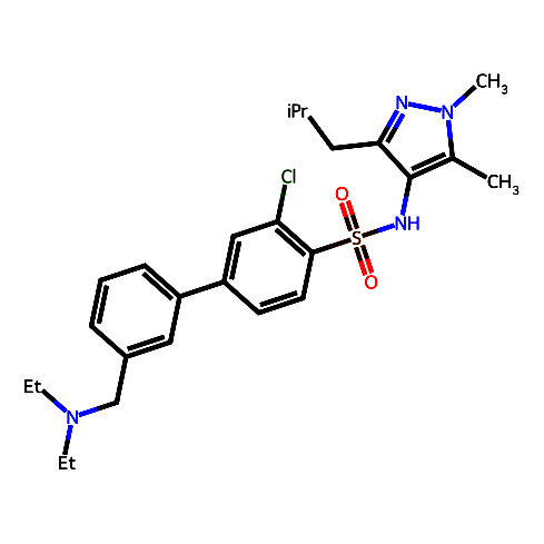 CCN(CC)Cc1cccc(-c2ccc(S(=O)(=O)Nc3c(CC(C)C)nn(C)c3C)c(Cl)c2)c1